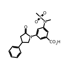 CN(c1cc(C(=O)O)cc(N2CC(c3ccccc3)CC2=O)c1)S(C)(=O)=O